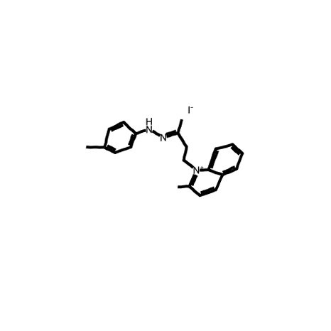 CC(CC[n+]1c(C)ccc2ccccc21)=NNc1ccc(C)cc1.[I-]